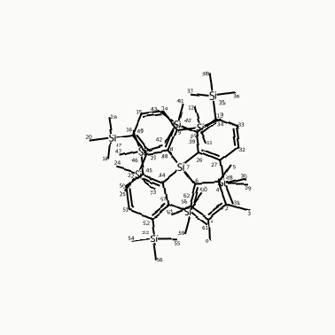 CC1=C(C)C(C)C([Si](c2c([Si](C)(C)C)ccc([Si](C)(C)C)c2[Si](C)(C)C)(c2c([Si](C)(C)C)ccc([Si](C)(C)C)c2[Si](C)(C)C)c2c([Si](C)(C)C)ccc([Si](C)(C)C)c2[Si](C)(C)C)=C1C